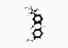 CNS(=O)(=O)c1ccc(OC2CCC(OC)CC2)c([N+](=O)[O-])c1